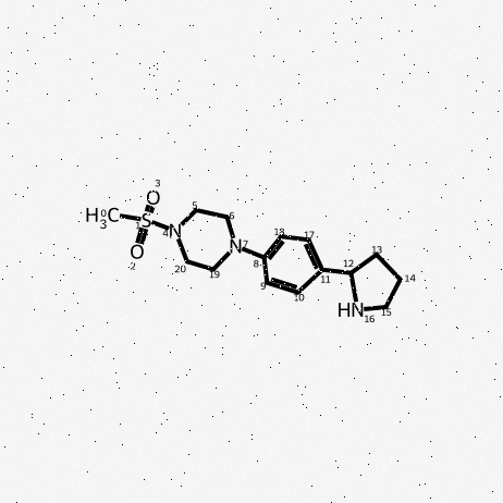 CS(=O)(=O)N1CCN(c2ccc(C3CCCN3)cc2)CC1